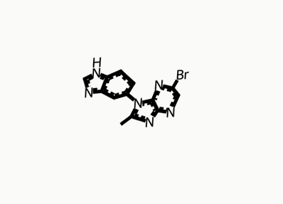 Cc1nc2ncc(Br)nc2n1-c1ccc2[nH]cnc2c1